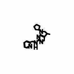 CC1CN(C2CCCC2)c2nc(NCc3ccccn3)ncc21